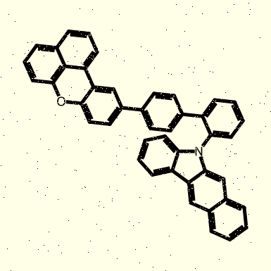 c1ccc(-n2c3ccccc3c3cc4ccccc4cc32)c(-c2ccc(-c3ccc4c(c3)-c3cccc5cccc(c35)O4)cc2)c1